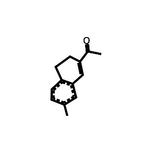 CC(=O)C1=Cc2cc(C)ccc2CC1